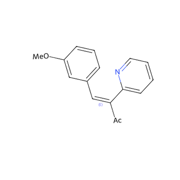 COc1cccc(/C=C(/C(C)=O)c2ccccn2)c1